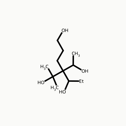 CCC(O)C(CCCO)(C(C)O)C(C)(C)O